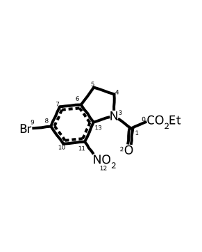 CCOC(=O)C(=O)N1CCc2cc(Br)cc([N+](=O)[O-])c21